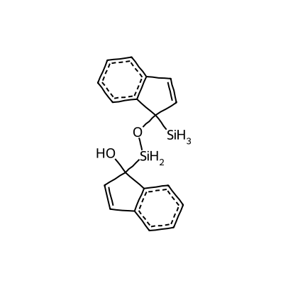 OC1([SiH2]OC2([SiH3])C=Cc3ccccc32)C=Cc2ccccc21